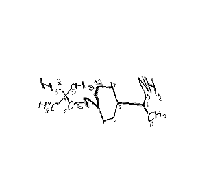 CC(N)C1CCN(OC(C)(C)C)CC1